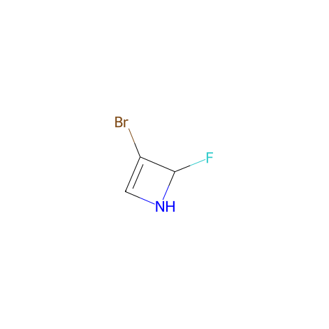 FC1NC=C1Br